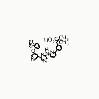 CCOc1ccccc1Oc1cncc(-c2cncc(Nc3cccc(-c4cccc(CC(C)(C)C(=O)O)c4)n3)n2)c1